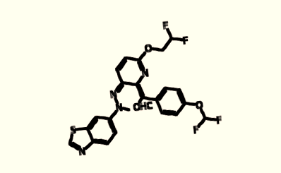 CN(/N=C1/C=CC(OCC(F)F)=N/C1=C(/C=O)c1ccc(OC(F)F)cc1)c1ccc2ncsc2c1